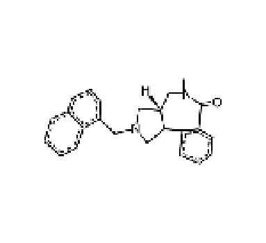 O=C1NC[C@H]2CN(Cc3cccc4ccccc34)CC2c2ccccc21